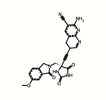 COc1ccc2c(c1)C(=O)N(C[C@@]1(C#CC3C=Nc4nc(N)c(C#N)cc4C3)NC(=O)NC1=O)C2